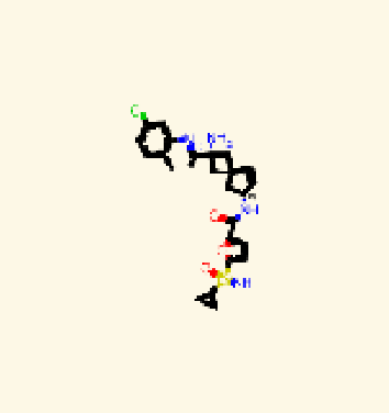 Cc1ccc(Cl)cc1/N=C(\C)[C@]1(N)C[C@]2(C#C[C@H](NC(=O)c3ccc(S(=N)(=O)C4CC4)o3)C2)C1